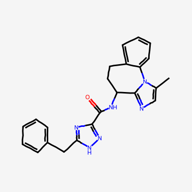 Cc1cnc2n1-c1ccccc1CCC2NC(=O)c1n[nH]c(Cc2ccccc2)n1